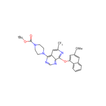 COc1cc(Oc2nc(C(F)(F)F)cc3c(N4CCN(C(=O)OC(C)(C)C)CC4)ncnc23)c2ccccc2c1